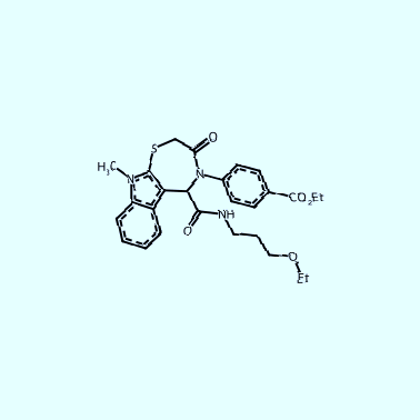 CCOCCCNC(=O)C1c2c(n(C)c3ccccc23)SCC(=O)N1c1ccc(C(=O)OCC)cc1